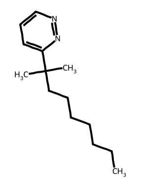 CCCCCCCC(C)(C)c1cccnn1